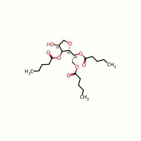 CCCCC(=O)OC[C@@H](OC(=O)CCCC)[C@H]1OC[C@H](O)C1OC(=O)CCCC